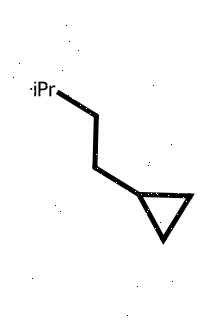 C[C](C)CCC1CC1